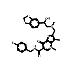 Cc1c(CN(C)CC(O)c2ccc3c(c2)OCO3)sc2c(=O)c(C(=O)NCc3ccc(F)cc3)cn(C)c12